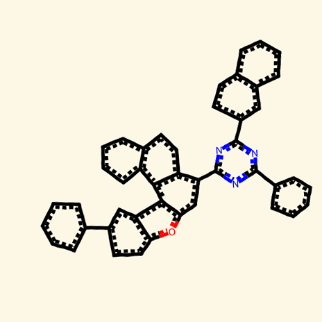 c1ccc(-c2ccc3oc4cc(-c5nc(-c6ccccc6)nc(-c6ccc7ccccc7c6)n5)c5ccc6ccccc6c5c4c3c2)cc1